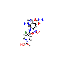 NS(=O)(=O)c1cc([N+](=O)[O-])c(NCC2(F)CCN(C(=O)O)CC2)c2[nH]cnc12